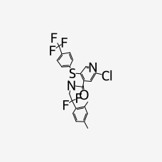 Cc1ccc(C(F)(F)CN(C)C(=O)c2cc(Cl)ncc2Sc2ccc(C(F)(F)F)cc2)c(C)c1